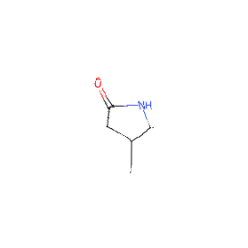 CC1[CH]NC(=O)C1